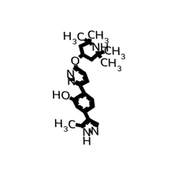 Cc1[nH]ncc1-c1ccc(-c2ccc(OC3CC(C)(C)NC(C)(C)C3)nn2)c(O)c1